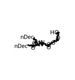 CCCCCCCCCCCCCC(=O)OCC(Cn1cc(CCC(=O)OCCOCCC(C)(C)OCCC(C)(C)O)nn1)OC(=O)CCCCCCCCCCCCC